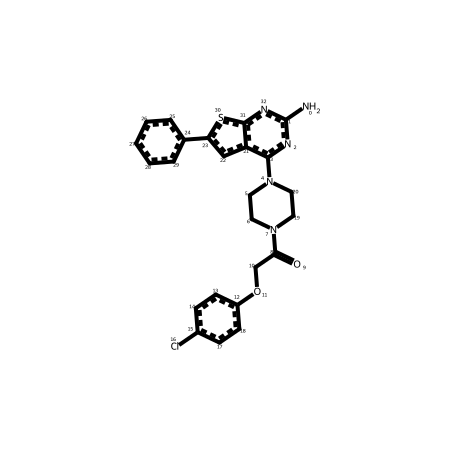 Nc1nc(N2CCN(C(=O)COc3ccc(Cl)cc3)CC2)c2cc(-c3ccccc3)sc2n1